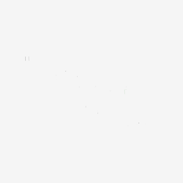 CCCc1ccc(C2C=CC(c3ccc(C)cc3F)CC2)cc1